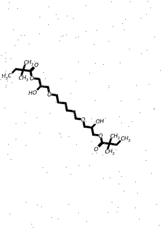 CCC(C)(C)C(=O)OCC(O)COCCCCCCOCC(O)COC(=O)C(C)(C)CC